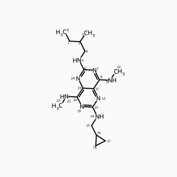 CCC(C)CNc1nc(NC)c2nc(NCC3CC3)nc(NC)c2n1